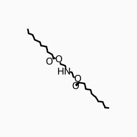 CCCCCCCCCC(=O)OCCNCCOC(=O)CCCCCCCCC